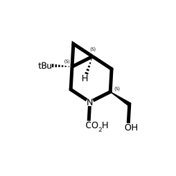 CC(C)(C)[C@]12C[C@H]1C[C@@H](CO)N(C(=O)O)C2